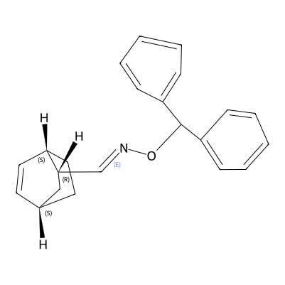 C1=C[C@@H]2CC[C@H]1C[C@H]2/C=N/OC(c1ccccc1)c1ccccc1